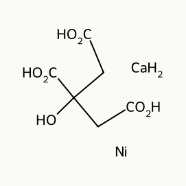 O=C(O)CC(O)(CC(=O)O)C(=O)O.[CaH2].[Ni]